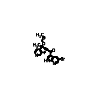 COCOC(C)(C#CC(=O)c1c[nH]c2ncc(Br)cc12)c1ccncc1F